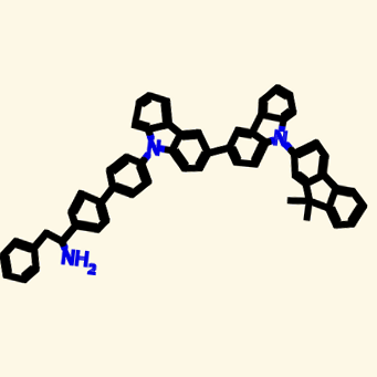 CC1(C)c2ccccc2-c2ccc(-n3c4ccccc4c4cc(-c5ccc6c(c5)c5ccccc5n6-c5ccc(-c6ccc(C(N)Cc7ccccc7)cc6)cc5)ccc43)cc21